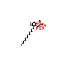 CCCCCCCCCCCCc1ccccc1C=C(P(=O)(O)O)P(=O)(O)O